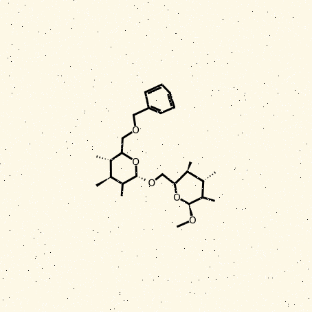 CO[C@H]1OC(CO[C@H]2OC(COCc3ccccc3)[C@@H](C)[C@H](C)C2C)[C@@H](C)[C@H](C)C1C